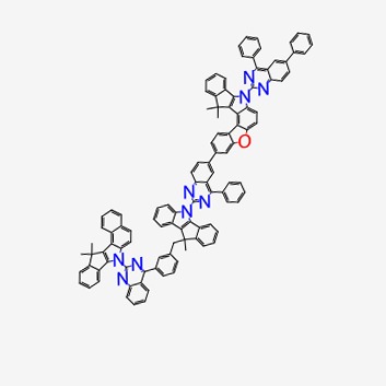 CC1(C)c2ccccc2-c2c1c1c3ccccc3ccc1n2-c1nc(-c2cccc(CC3(C)c4ccccc4-c4c3c3ccccc3n4-c3nc(-c4ccccc4)c4cc(-c5ccc6c(c5)oc5ccc7c(c8c(n7-c7nc(-c9ccccc9)c9cc(-c%10ccccc%10)ccc9n7)-c7ccccc7C8(C)C)c56)ccc4n3)c2)c2ccccc2n1